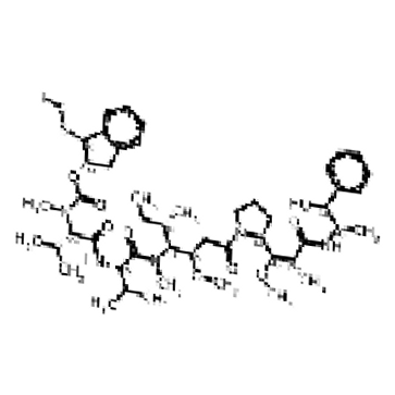 CC[C@H](C)[C@@H]([C@@H](CC(=O)N1CCC[C@H]1[C@H](OC)[C@@H](C)C(=O)N[C@H](C)[C@@H](O)c1ccccc1)OC)N(C)C(=O)[C@@H](NC(=O)[C@H](C(C)C)N(C)C(=O)O[C@H]1Cc2ccccc2[C@@H]1SSI)C(C)C